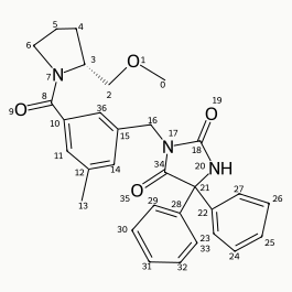 COC[C@H]1CCCN1C(=O)c1cc(C)cc(CN2C(=O)NC(c3ccccc3)(c3ccccc3)C2=O)c1